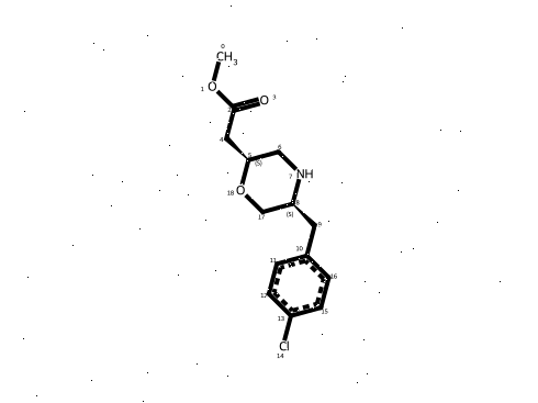 COC(=O)C[C@H]1CN[C@@H](Cc2ccc(Cl)cc2)CO1